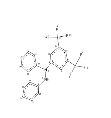 FC(F)(F)c1cc(N(Nc2ccccc2)c2ccccc2)cc(C(F)(F)F)c1